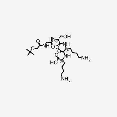 CC(C)(C)OCC(=O)NCC(=O)N[C@@H](CO)C(=O)N[C@@H](CCCCN)C(=O)N[C@@H](CCCCN)C(=O)O